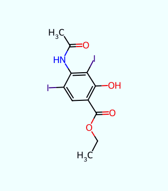 CCOC(=O)c1cc(I)c(NC(C)=O)c(I)c1O